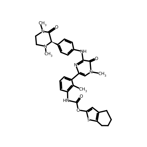 Cc1c(NC(=O)Oc2cc3c(s2)CCCC3)cccc1-c1cn(C)c(=O)c(Nc2ccc([C@@H]3C(=O)N(C)CCN3C)cc2)n1